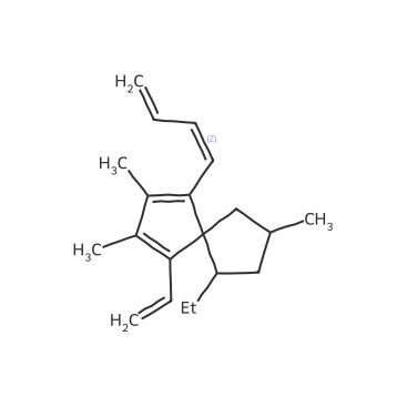 C=C/C=C\C1=C(C)C(C)=C(C=C)C12CC(C)CC2CC